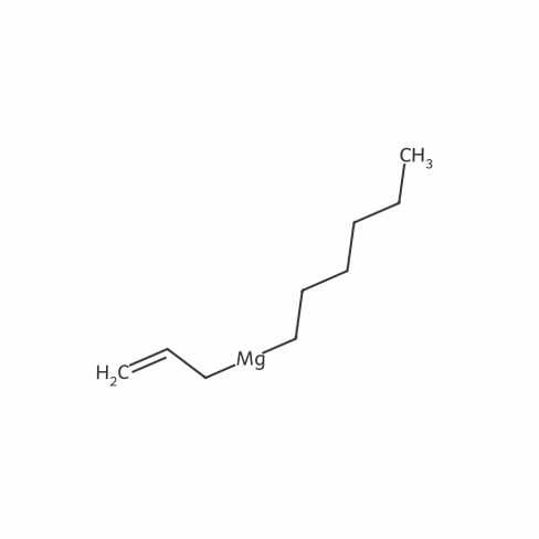 C=C[CH2][Mg][CH2]CCCCC